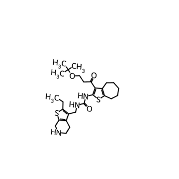 CCc1sc2c(c1CNC(=O)Nc1sc3c(c1C(=O)CCOC(C)(C)C)CCCCC3)CCNC2